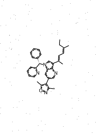 CC/C(C)=C\C=C(/C)c1cn([C@@H](c2ccccc2)c2ccccn2)c2cc(-c3c(C)noc3C)cnc12